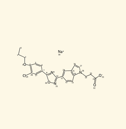 CCCOc1ccc(-c2nc(-c3ccc4c(ccn4CCC(=O)[O-])c3)no2)cc1Cl.[Na+]